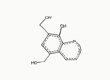 OCc1cc(CO)c2cccnc2c1O